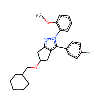 COc1ccccc1-n1nc2c(c1-c1ccc(Cl)cc1)CC(OCC1CCCCC1)C2